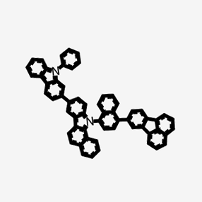 c1ccc(-n2c3ccccc3c3ccc(-c4ccc5c(c4)c4ccc6ccccc6c4n5-c4ccc(-c5ccc6c(c5)-c5cccc7cccc-6c57)c5ccccc45)cc32)cc1